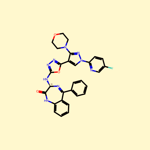 O=C1Nc2ccccc2C(c2ccccc2)=N[C@@H]1Nc1nnc(-c2cn(-c3ccc(F)cn3)nc2N2CCOCC2)o1